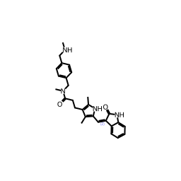 CNCc1ccc(CN(C)C(=O)CCc2c(C)[nH]c(/C=C3\C(=O)Nc4ccccc43)c2C)cc1